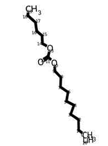 CCCCCCCCCCOC(=O)OCCCCCC.[LiH]